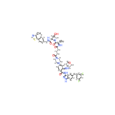 Cc1ncsc1-c1ccc(CNC(=O)[C@@H]2C[C@@H](O)CN2C(=O)[C@@H](NC(=O)CCCC(=O)N2CCN(c3ccc(C(=O)Nc4n[nH]c5ccc(Cc6cc(F)cc(F)c6)cc45)c(NC4CCOCC4)c3)CC2)C(C)(C)C)cc1